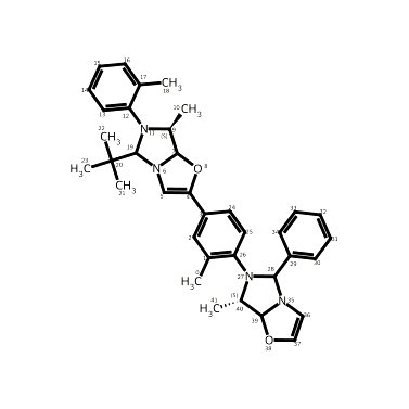 Cc1cc(C2=CN3C(O2)[C@H](C)N(c2ccccc2C)C3C(C)(C)C)ccc1N1C(c2ccccc2)N2C=COC2[C@@H]1C